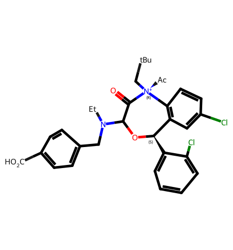 CCN(Cc1ccc(C(=O)O)cc1)C1O[C@H](c2ccccc2Cl)c2cc(Cl)ccc2[N@+](CC(C)(C)C)(C(C)=O)C1=O